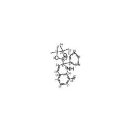 CC1(C)OB(C2(c3ccccc3)C=Cc3cccc(F)c3N2)OC1(C)C